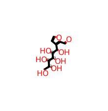 O=Cc1occc1C(O)[C@@H](O)[C@@H](O)[C@H](O)[C@@H](O)CO